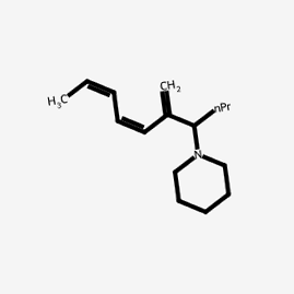 C=C(/C=C\C=C/C)C(CCC)N1CCCCC1